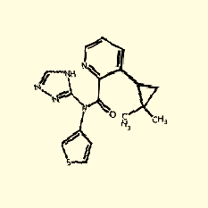 CC1(C)CC1c1cccnc1C(=O)N(c1ccsc1)c1nnc[nH]1